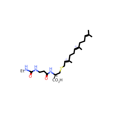 CCNC(=O)NCCC(=O)N[C@@H](CSC/C=C(\C)CC/C=C(\C)CCC=C(C)C)C(=O)O